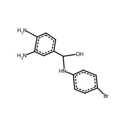 Nc1ccc(C(O)Nc2ccc(Br)cc2)cc1N